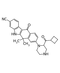 CC1(C)c2cc(N3CCNCC3C(=O)C3CCC3)ccc2C(=O)c2c1[nH]c1cc(C#N)ccc21